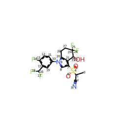 CC(C#N)S(=O)(=O)c1cn(-c2ccc(F)c(C(F)F)c2)c2c1[C@H](O)C(F)(F)CC2